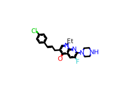 CCn1cc(CC=Cc2ccc(Cl)cc2)c(=O)c2cc(F)c(N3CCNCC3)nc21